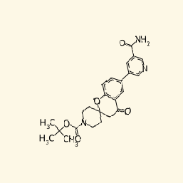 CC(C)(C)OC(=O)N1CCC2(CC1)CC(=O)c1cc(-c3cncc(C(N)=O)c3)ccc1O2